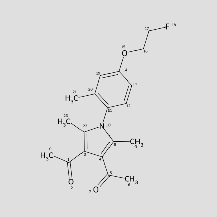 CC(=O)c1c(C(C)=O)c(C)n(-c2ccc(OCCF)cc2C)c1C